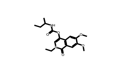 CCC(C)NC(=O)Oc1cn(CC)c(=O)c2cc(OC)c(OC)cc12